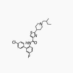 CCC(C)CN1CCC(c2nc(C(=O)Nc3ccc(F)cc3-c3ccc(Cl)cc3)cs2)CC1